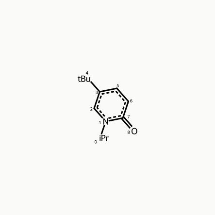 CC(C)n1cc(C(C)(C)C)ccc1=O